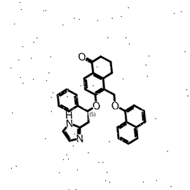 O=C1CCCc2c1ccc(O[C@@H](Cc1ncc[nH]1)c1ccccc1)c2COc1cccc2ccccc12